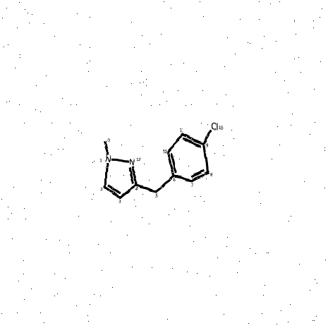 Cn1ccc(Cc2ccc(Cl)cc2)n1